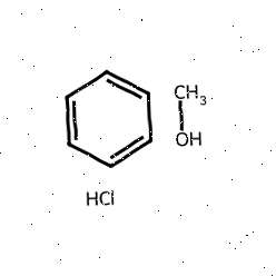 CO.Cl.c1ccccc1